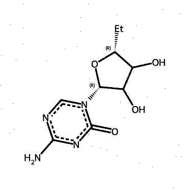 CC[C@H]1O[C@@H](n2cnc(N)nc2=O)C(O)C1O